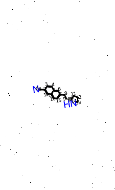 N#Cc1ccc2cc(CC[C@H]3CCCN3)ccc2c1